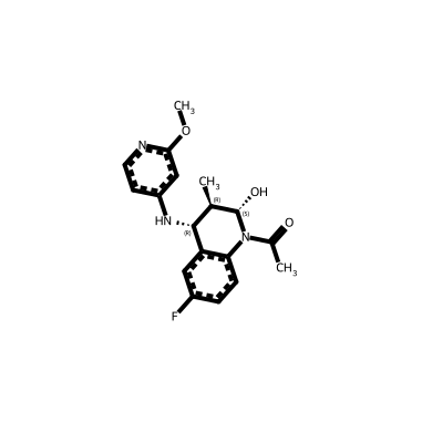 COc1cc(N[C@H]2c3cc(F)ccc3N(C(C)=O)[C@@H](O)[C@@H]2C)ccn1